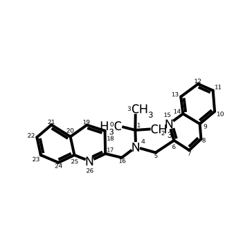 CC(C)(C)N(Cc1ccc2ccccc2n1)Cc1ccc2ccccc2n1